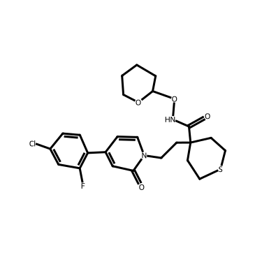 O=C(NOC1CCCCO1)C1(CCn2ccc(-c3ccc(Cl)cc3F)cc2=O)CCSCC1